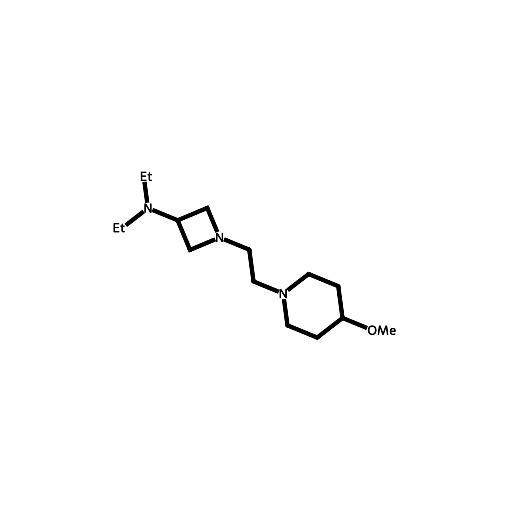 CCN(CC)C1CN(CCN2CCC(OC)CC2)C1